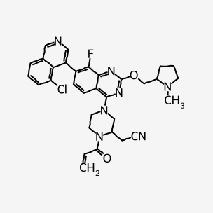 C=CC(=O)N1CCN(c2nc(OCC3CCCN3C)nc3c(F)c(-c4cncc5cccc(Cl)c45)ccc23)CC1CC#N